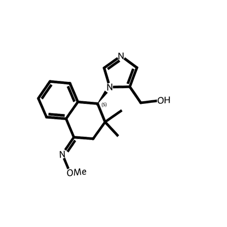 CON=C1CC(C)(C)[C@H](n2cncc2CO)c2ccccc21